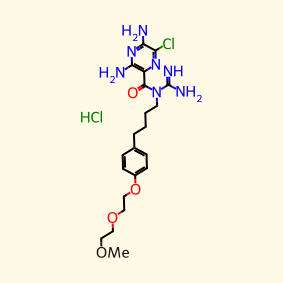 COCCOCCOc1ccc(CCCCN(C(=N)N)C(=O)c2nc(Cl)c(N)nc2N)cc1.Cl